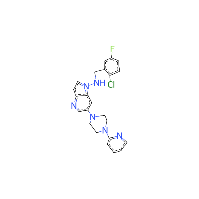 Fc1ccc(Cl)c(CNn2ccc3ncc(N4CCN(c5ccccn5)CC4)cc32)c1